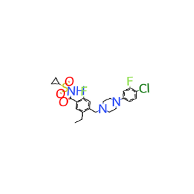 CCc1cc(C(=O)NS(=O)(=O)C2CC2)c(F)cc1CN1CCN(c2ccc(Cl)c(F)c2)CC1